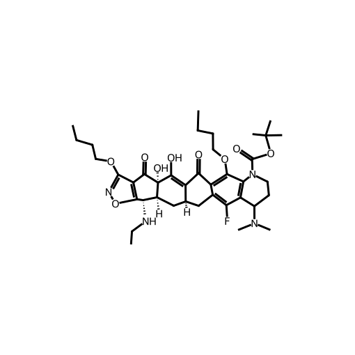 CCCCOc1noc2c1C(=O)[C@@]1(O)C(O)=C3C(=O)c4c(c(F)c5c(c4OCCCC)N(C(=O)OC(C)(C)C)CCC5N(C)C)C[C@H]3C[C@H]1[C@@H]2NCC